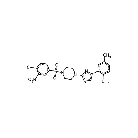 Cc1ccc(C)c(-c2csc(N3CCN(S(=O)(=O)c4ccc(Cl)c([N+](=O)[O-])c4)CC3)n2)c1